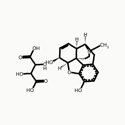 CN1CC[C@]23c4c5ccc(O)c4O[C@H]2[C@@H](O)C=C[C@H]3[C@H]1C5.O=C(O)C(O)C(O)C(=O)O